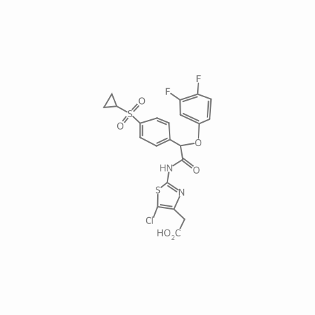 O=C(O)Cc1nc(NC(=O)C(Oc2ccc(F)c(F)c2)c2ccc(S(=O)(=O)C3CC3)cc2)sc1Cl